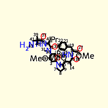 CCC(C)C(C(CC(=O)N1CCCC1C(OC)C(C)C(=O)NC(Cc1ccccc1)C(=O)OC)OC)N(C)C(=O)C(NC(=O)C(C)(C)CN)C(C)C